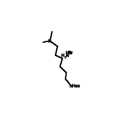 Br.CCCCCCCCCCCCN(C)C.N